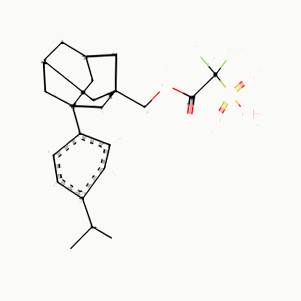 CC(C)c1ccc(C23CC4CC(CC(COC(=O)C(F)(F)S(=O)(=O)O)(C4)C2)C3)cc1